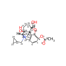 CC(=O)Oc1ccc2c3c1O[C@H]1[C@@H](O)CC[C@@]4(O)[C@@H](C2)N(CC2CC2)CC[C@]314